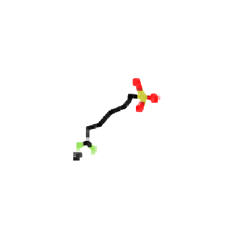 O=S(=O)([O-])CCCCCC(F)F.[Li+]